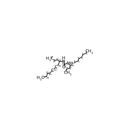 CCCCCCCCC(CCC)NC(=O)NC(CCC)CCCCCCCC